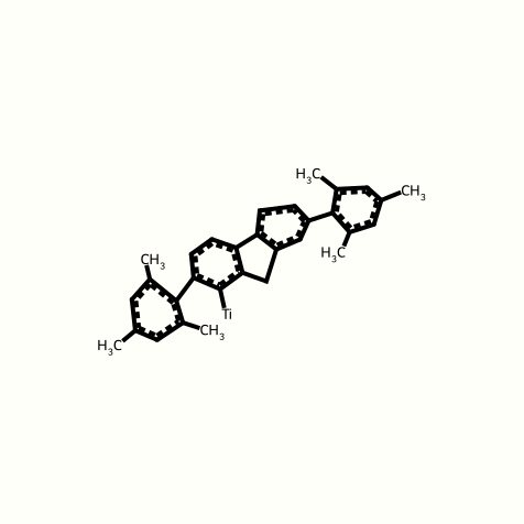 Cc1cc(C)c(-c2ccc3c(c2)Cc2c-3ccc(-c3c(C)cc(C)cc3C)[c]2[Ti])c(C)c1